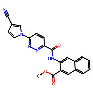 COC(=O)c1cc2ccccc2cc1NC(=O)c1ccc(-n2ccc(C#N)c2)nn1